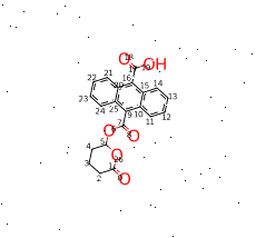 O=C1CCCC(OC(=O)c2c3ccccc3c(C(=O)O)c3ccccc23)O1